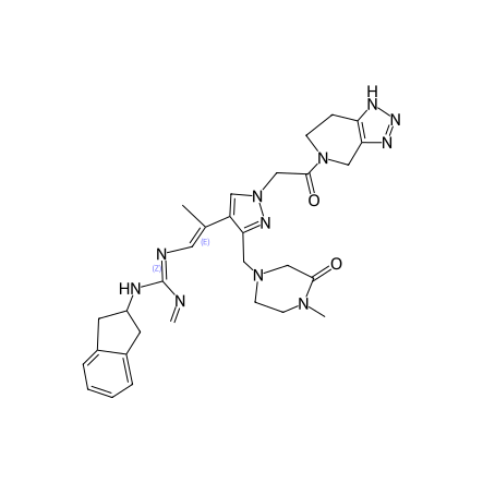 C=N/C(=N\C=C(/C)c1cn(CC(=O)N2CCc3[nH]nnc3C2)nc1CN1CCN(C)C(=O)C1)NC1Cc2ccccc2C1